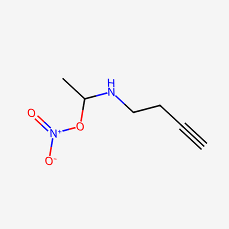 C#CCCNC(C)O[N+](=O)[O-]